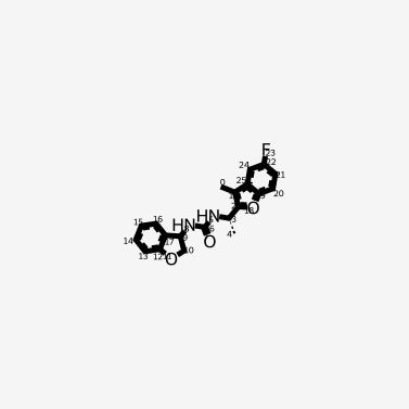 Cc1c([C@H](C)NC(=O)NC2COc3ccccc32)oc2ccc(F)cc12